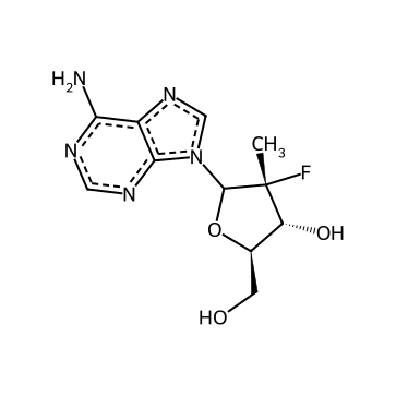 C[C@]1(F)C(n2cnc3c(N)ncnc32)O[C@H](CO)[C@H]1O